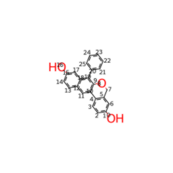 Oc1ccc2c(c1)COc1c-2cc2ccc(O)cc2c1-c1ccccc1